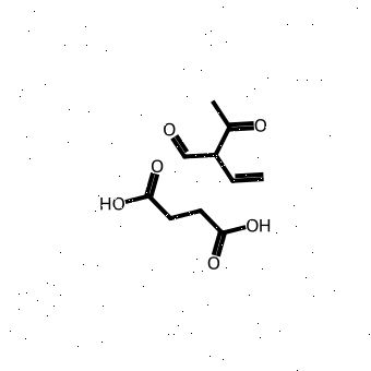 C=CC(C=O)C(C)=O.O=C(O)CCC(=O)O